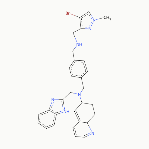 Cn1cc(Br)c(CNCc2ccc(CN(Cc3nc4ccccc4[nH]3)C3C=C4C=CC=NC4CC3)cc2)n1